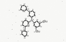 CC(C)(C)c1cc(N(c2cccc(-c3ccccn3)c2)c2cccc(-c3ccccc3)n2)cc(C(C)(C)C)c1